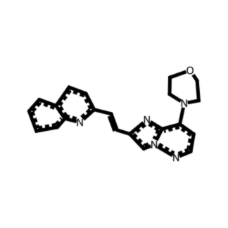 C(=Cc1cn2nccc(N3CCOCC3)c2n1)c1ccc2ccccc2n1